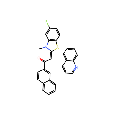 CN1C(=CC(=O)c2ccc3ccccc3c2)Sc2ccc(F)cc21.c1ccc2ncccc2c1